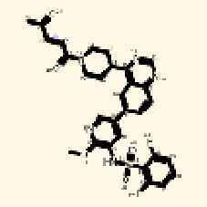 COc1ncc(-c2ccc3ncnc(C4CCN(C(=O)/C=C/C(C)=O)CC4)c3c2)cc1NS(=O)(=O)c1c(F)cccc1F